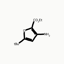 CCOC(=O)c1oc(C(C)(C)C)cc1N